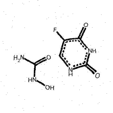 NC(=O)NO.O=c1[nH]cc(F)c(=O)[nH]1